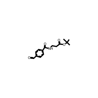 CC(C)(C)OC(=O)CCNC(=O)c1ccc(C=O)cc1